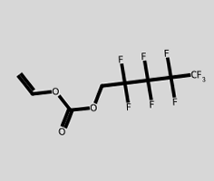 C=COC(=O)OCC(F)(F)C(F)(F)C(F)(F)C(F)(F)F